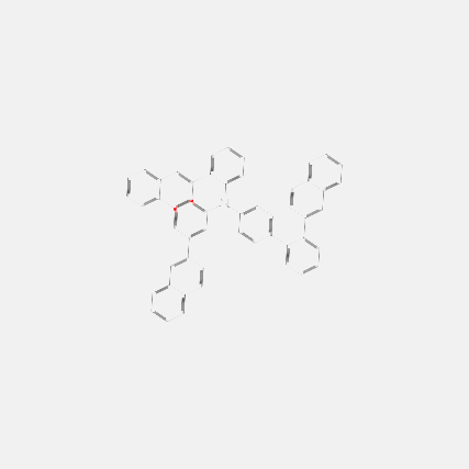 c1cc(-c2ccc3ccccc3c2)cc(N(c2ccc(-c3ccccc3-c3ccc4ccccc4c3)cc2)c2ccccc2-c2ccc3ccccc3c2)c1